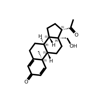 CC(=O)[C@H]1CC[C@H]2[C@@H]3CCC4=CC(=O)C=C[C@]4(C)[C@H]3CC[C@]12CO